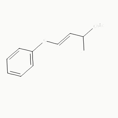 CC(=O)OC(C)/C=C/Sc1ccccc1